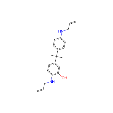 C=CCNc1ccc(C(C)(C)c2ccc(NCC=C)c(O)c2)cc1